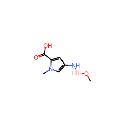 COBNc1cc(C(=O)O)n(C)c1